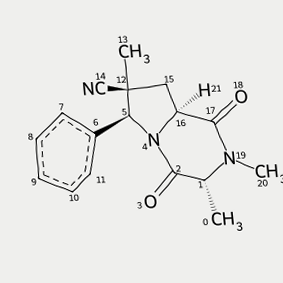 C[C@@H]1C(=O)N2[C@@H](c3ccccc3)[C@@](C)(C#N)C[C@H]2C(=O)N1C